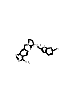 Nc1ncnc2cc(CN3CC[C@H](NCc4cc5ccc(Cl)nc5s4)C3=O)ccc12